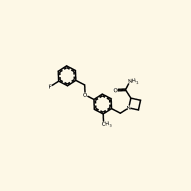 Cc1cc(OCc2cccc(F)c2)ccc1CN1CCC1C(N)=O